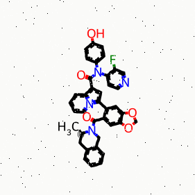 C[C@@H]1Cc2ccccc2CN1C(=O)c1cc2c(cc1-c1cc(C(=O)N(c3ccc(O)cc3)c3ccncc3F)c3ccccn13)OCO2